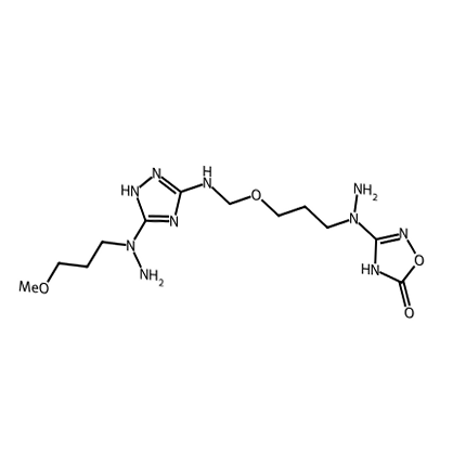 COCCCN(N)c1nc(NCOCCCN(N)c2noc(=O)[nH]2)n[nH]1